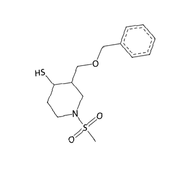 CS(=O)(=O)N1CCC(S)C(COCc2ccccc2)C1